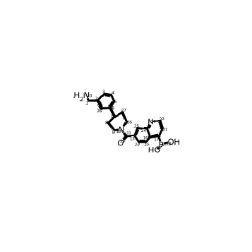 NCc1cccc(C2CCN(C(=O)c3ccc4c(B(O)O)ccnc4c3)CC2)c1